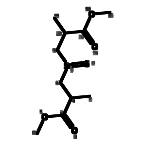 COC(=O)C(C)[CH2][Sn](=[S])[CH2]C(C)C(=O)OC